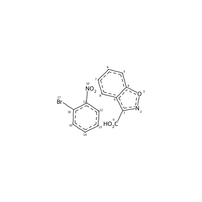 O=C(O)c1noc2ccccc12.O=[N+]([O-])c1ccccc1Br